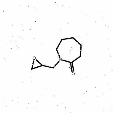 O=C1CCCCCN1CC1CO1